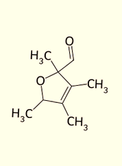 CC1=C(C)C(C)(C=O)OC1C